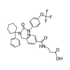 O=C(O)CCNC(=O)c1ccc(CN(C(=O)Nc2ccc(OC(F)(F)F)cc2)C2(c3ccccc3)CCCCC2)cc1